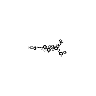 Cc1c(COc2cc(OCc3cncc(C#N)c3)c(CNCc3cocn3)cc2Cl)cccc1-c1cccc(OCCCN2CC[C@@H](O)C2)c1C